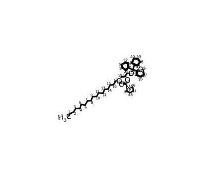 CCCCCCCCCCCCCCCCCCOCC(COC(c1ccccc1)(c1ccccc1)c1ccccc1)OC(=O)N1CCCC1